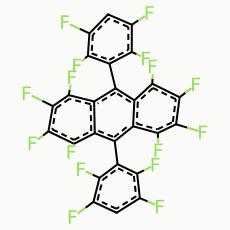 Fc1cc(F)c(F)c(-c2c3c(F)c(F)c(F)c(F)c3c(-c3c(F)c(F)cc(F)c3F)c3c(F)c(F)c(F)c(F)c23)c1F